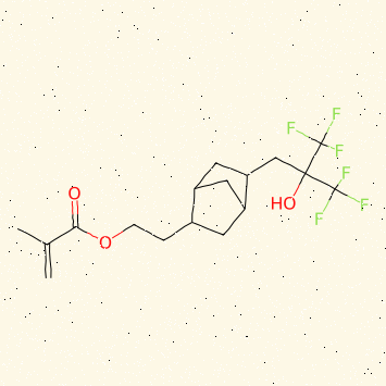 C=C(C)C(=O)OCCC1CC2CC1CC2CC(O)(C(F)(F)F)C(F)(F)F